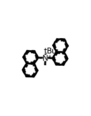 CC(C)(C)[N+](C)(c1cccc2ccccc12)c1cccc2ccccc12